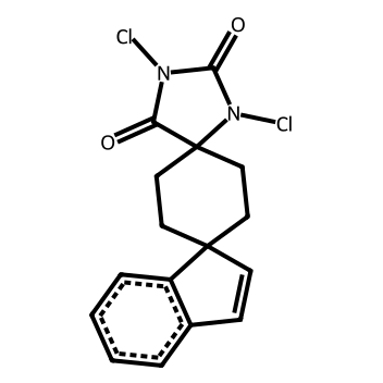 O=C1N(Cl)C(=O)C2(CCC3(C=Cc4ccccc43)CC2)N1Cl